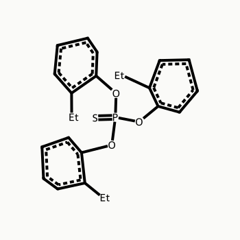 CCc1ccccc1OP(=S)(Oc1ccccc1CC)Oc1ccccc1CC